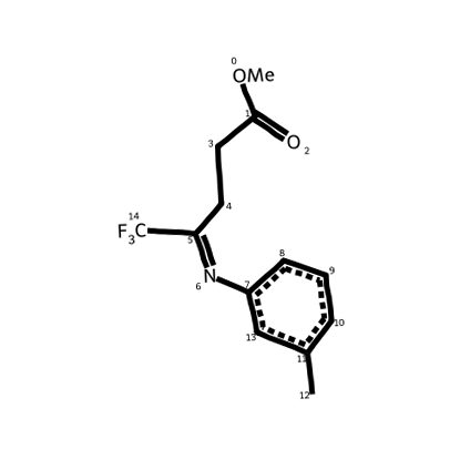 COC(=O)CCC(=Nc1cccc(C)c1)C(F)(F)F